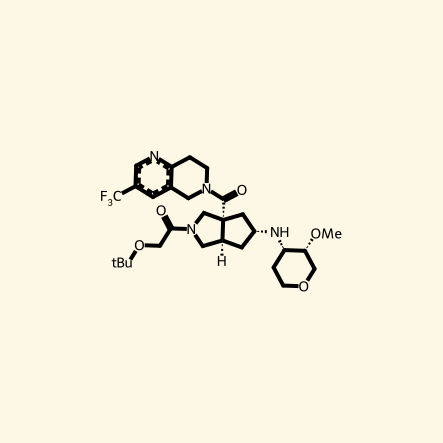 CO[C@@H]1COCC[C@@H]1N[C@@H]1C[C@H]2CN(C(=O)COC(C)(C)C)C[C@@]2(C(=O)N2CCc3ncc(C(F)(F)F)cc3C2)C1